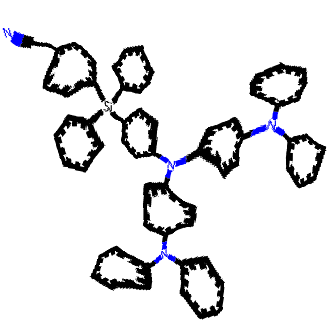 N#Cc1ccc([Si](c2ccccc2)(c2ccccc2)c2ccc(N(c3ccc(N(c4ccccc4)c4ccccc4)cc3)c3ccc(N(c4ccccc4)c4ccccc4)cc3)cc2)cc1